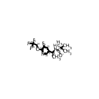 C[C@@H](N[S@+]([O-])C(C)(C)C)c1cnc(OCC(F)(F)F)c(F)c1